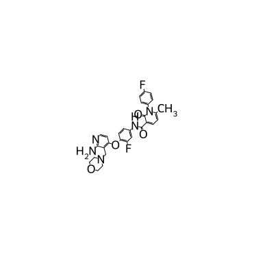 Cc1ccc(C(=O)Nc2ccc(Oc3ccnc(N)c3CN3CCOCC3)c(F)c2)c(=O)n1-c1ccc(F)cc1